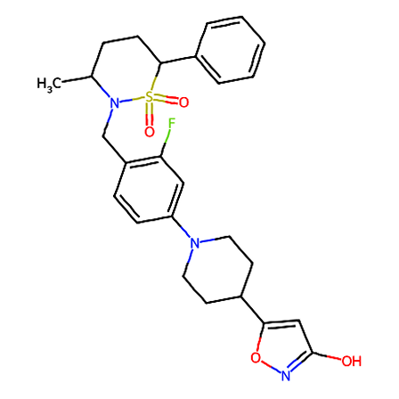 CC1CCC(c2ccccc2)S(=O)(=O)N1Cc1ccc(N2CCC(c3cc(O)no3)CC2)cc1F